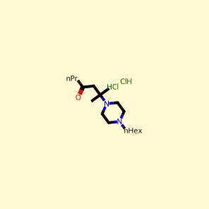 CCCCCCN1CCN(C(C)(C)CC(=O)CCC)CC1.Cl.Cl